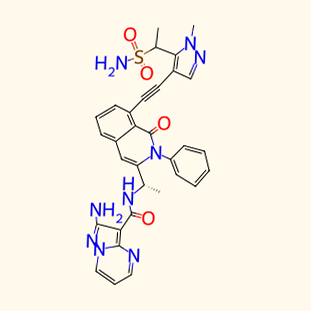 CC(c1c(C#Cc2cccc3cc([C@H](C)NC(=O)c4c(N)nn5cccnc45)n(-c4ccccc4)c(=O)c23)cnn1C)S(N)(=O)=O